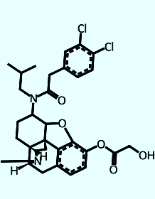 CC(C)CN(C(=O)Cc1ccc(Cl)c(Cl)c1)C1CC[C@H]2[C@H]3Cc4ccc(OC(=O)CO)c5c4[C@@]2(CCN3C)C1O5